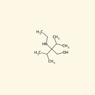 CCNC(CO)(C(C)C)C(C)C